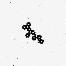 C1=Cc2c(c3cc4c(cc3c3ccccc23)c2c(n4-c3ccccc3)C=C(Cc3ccccc3-c3cccc4c3sc3ccccc34)CC2)CC1